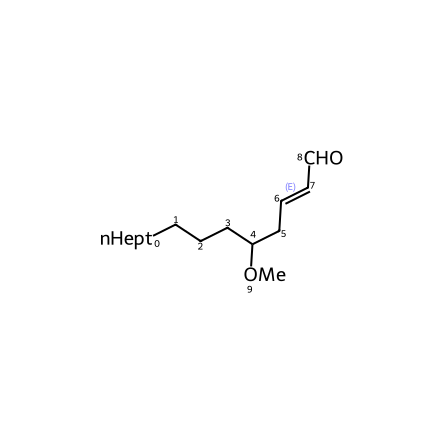 CCCCCCCCCCC(C/C=C/C=O)OC